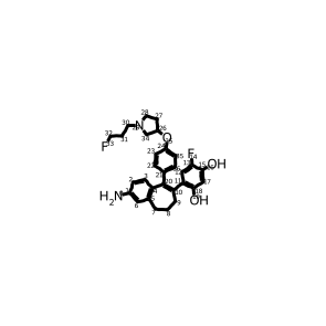 Nc1ccc2c(c1)CCCC(c1cc(F)c(O)cc1O)=C2c1ccc(OC2CCN(CCCF)C2)cc1